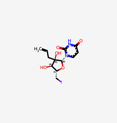 C=CC[C@@]1(O)[C@H](O)[C@@H](CI)O[C@H]1n1ccc(=O)[nH]c1=O